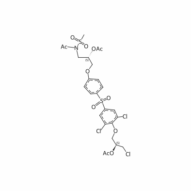 CC(=O)O[C@H](CCl)COc1c(Cl)cc(S(=O)(=O)c2ccc(OC[C@H](CN(C(C)=O)S(C)(=O)=O)OC(C)=O)cc2)cc1Cl